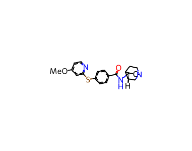 COc1ccnc(Sc2ccc(C(=O)N[C@H]3CN4CCC3CC4)cc2)c1